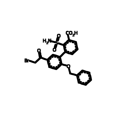 NS(=O)(=O)c1c(C(=O)O)cccc1-c1cc(C(=O)CBr)ccc1OCc1ccccc1